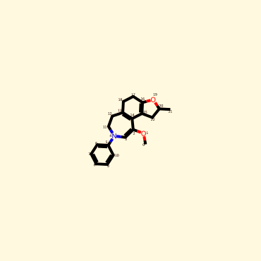 COC1=CN(c2ccccc2)CCC2=C1C1=C(CC2)OC(C)C1